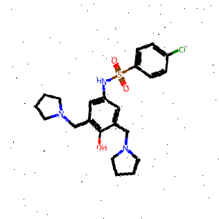 O=S(=O)(Nc1cc(CN2CCCC2)c(O)c(CN2CCCC2)c1)c1ccc(Cl)cc1